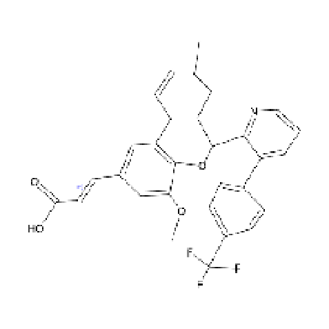 C=CCc1cc(/C=C/C(=O)O)cc(OC)c1OC(CCCC)c1ncccc1-c1ccc(C(F)(F)F)cc1